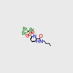 CCCCNC(=O)c1cccc(S(=O)(=O)C(Br)(Br)Br)n1